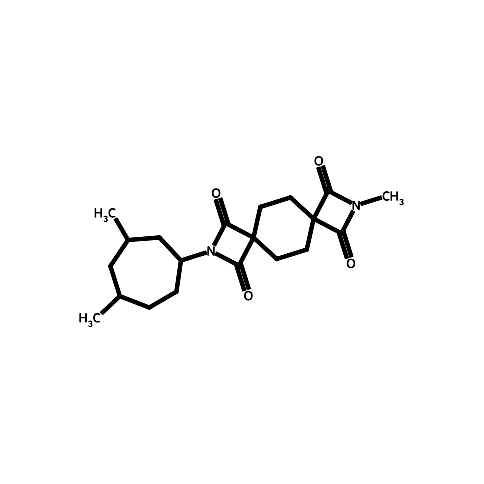 CC1CCC(N2C(=O)C3(CCC4(CC3)C(=O)N(C)C4=O)C2=O)CC(C)C1